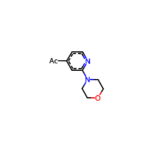 CC(=O)c1ccnc(N2CCOCC2)c1